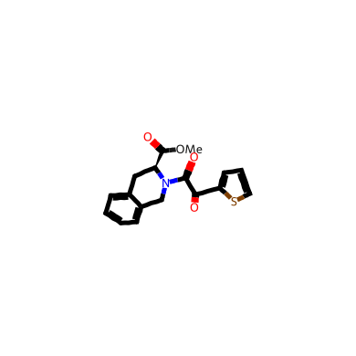 COC(=O)[C@@H]1Cc2ccccc2CN1C(=O)C(=O)c1cccs1